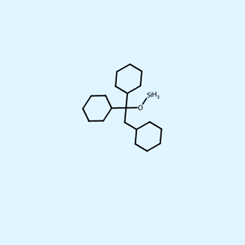 [SiH3]OC(CC1CCCCC1)(C1CCCCC1)C1CCCCC1